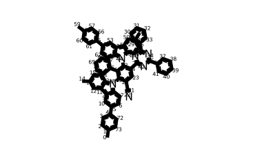 Cc1ccc(-c2ccc3c(c2)c2cc(C)ccc2n3-c2c(C#N)cc(-c3nc(-c4ccccc4)nc(-c4ccccc4)n3)c(-n3c4ccc(C)cc4c4cc(-c5ccc(C)cc5)ccc43)c2-c2ccccc2)cc1